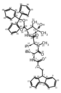 CC[C@H](C)[C@H](NC(=O)OCC1c2ccccc2-c2ccccc21)C(=O)N(C)[C@H](C(=O)N[C@@H](C(=O)OC(c1ccccc1)(c1ccccc1)c1ccccc1)C(C)S(C)(=O)=O)C(C)C